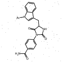 CC(=O)n1cc(CC2NC(=O)N(c3ccc(C(N)=O)cc3)C2=O)c2ccccc21